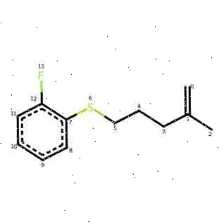 C=C(C)CCCSc1ccccc1F